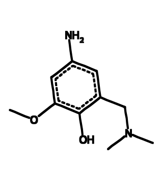 COc1cc(N)cc(CN(C)C)c1O